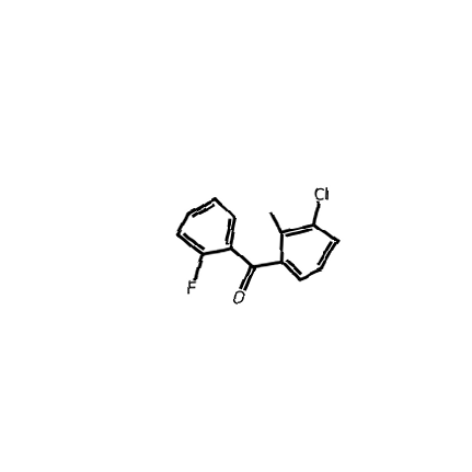 Cc1c(Cl)cccc1C(=O)c1ccccc1F